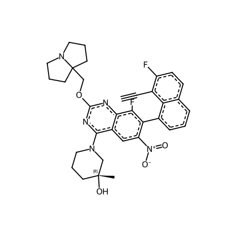 C#Cc1c(F)ccc2cccc(-c3c([N+](=O)[O-])cc4c(N5CCC[C@@](C)(O)C5)nc(OCC56CCCN5CCC6)nc4c3F)c12